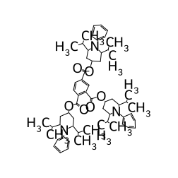 CC(C)C1CC(OC(=O)c2ccc(C(=O)OC3CC(C(C)C)N(c4ccccc4)C(C(C)C)C3)c(C(=O)OC3CC(C(C)C)N(c4ccccc4)C(C(C)C)C3)c2)CC(C(C)C)N1c1ccccc1